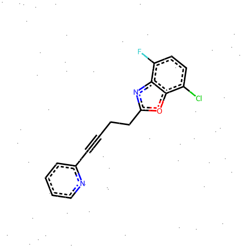 Fc1ccc(Cl)c2oc(CCC#Cc3ccccn3)nc12